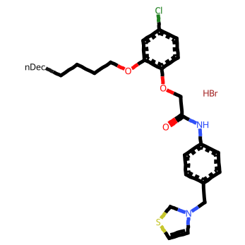 Br.CCCCCCCCCCCCCCOc1cc(Cl)ccc1OCC(=O)Nc1ccc(CN2C=CSC2)cc1